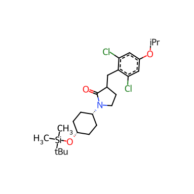 CC(C)Oc1cc(Cl)c(CC2CCN([C@H]3CC[C@@H](O[Si](C)(C)C(C)(C)C)CC3)C2=O)c(Cl)c1